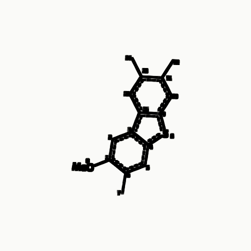 COc1cc2c(cc1C)sc1cc(C)c(C)cc12